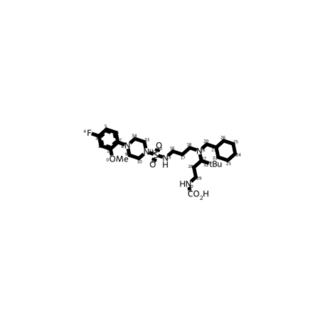 COc1cc(F)ccc1N1CCN(S(=O)(=O)NCCCN(CC2CCCCC2)C(CCNC(=O)O)C(C)(C)C)CC1